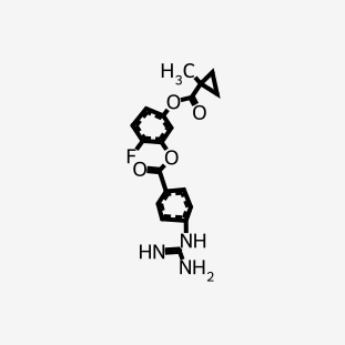 CC1(C(=O)Oc2ccc(F)c(OC(=O)c3ccc(NC(=N)N)cc3)c2)CC1